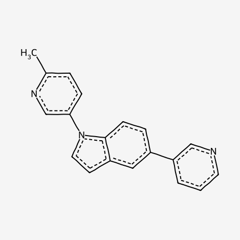 Cc1ccc(-n2ccc3cc(-c4cccnc4)ccc32)cn1